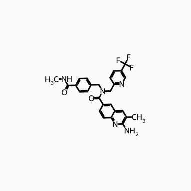 CNC(=O)c1ccc(CN(Cc2ccc(C(F)(F)F)cn2)C(=O)c2ccc3nc(N)c(C)cc3c2)cc1